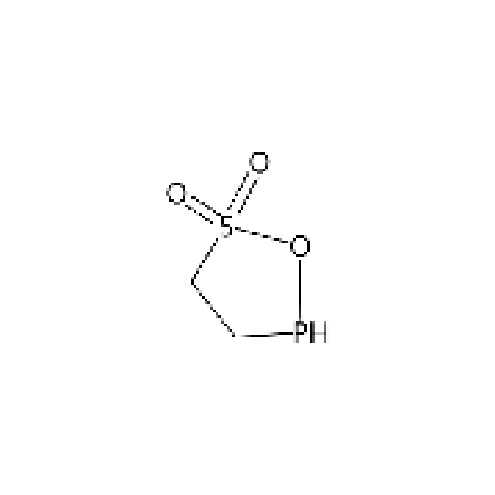 O=S1(=O)CCPO1